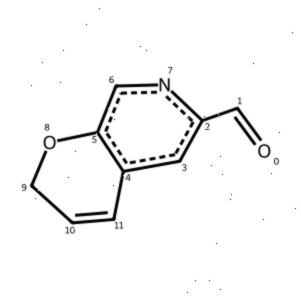 O=Cc1cc2c(cn1)OCC=C2